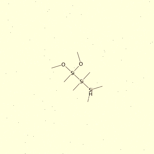 CO[Si](C)(OC)[Si](C)(C)[SiH](C)C